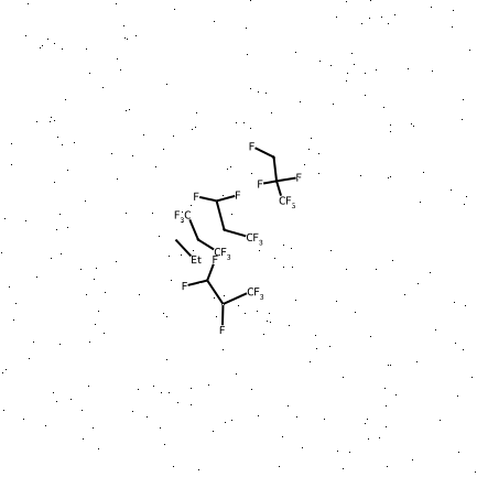 CCC.FC(F)(F)CC(F)(F)F.FC(F)C(F)C(F)(F)F.FC(F)CC(F)(F)F.FCC(F)(F)C(F)(F)F